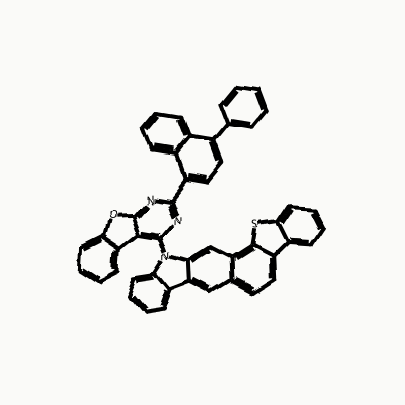 c1ccc(-c2ccc(-c3nc(-n4c5ccccc5c5cc6ccc7c8ccccc8sc7c6cc54)c4c(n3)oc3ccccc34)c3ccccc23)cc1